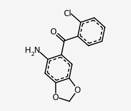 Nc1cc2c(cc1C(=O)c1ccccc1Cl)OCO2